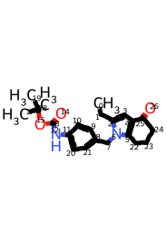 CCc1cc2c(n1Cc1ccc(NC(=O)OC(C)(C)C)cc1)CCCC2=O